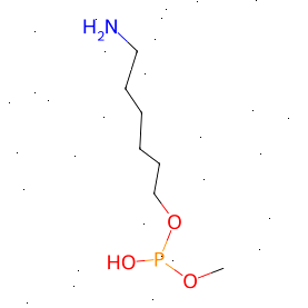 COP(O)OCCCCCCN